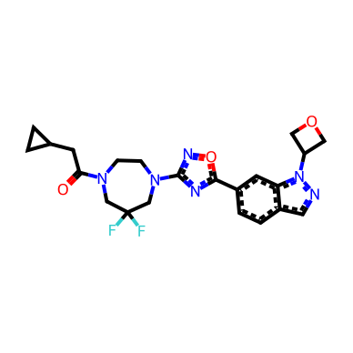 O=C(CC1CC1)N1CCN(c2noc(-c3ccc4cnn(C5COC5)c4c3)n2)CC(F)(F)C1